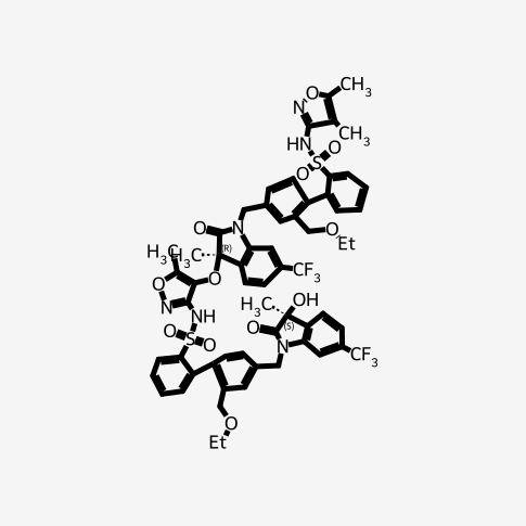 CCOCc1cc(CN2C(=O)[C@](C)(Oc3c(NS(=O)(=O)c4ccccc4-c4ccc(CN5C(=O)[C@@](C)(O)c6ccc(C(F)(F)F)cc65)cc4COCC)noc3C)c3ccc(C(F)(F)F)cc32)ccc1-c1ccccc1S(=O)(=O)Nc1noc(C)c1C